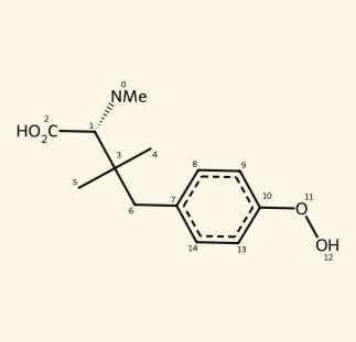 CN[C@@H](C(=O)O)C(C)(C)Cc1ccc(OO)cc1